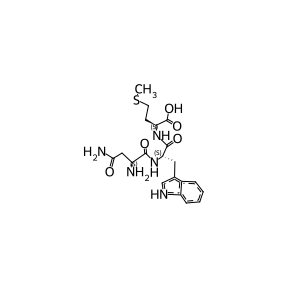 CSCC[C@H](NC(=O)[C@H](Cc1c[nH]c2ccccc12)NC(=O)[C@@H](N)CC(N)=O)C(=O)O